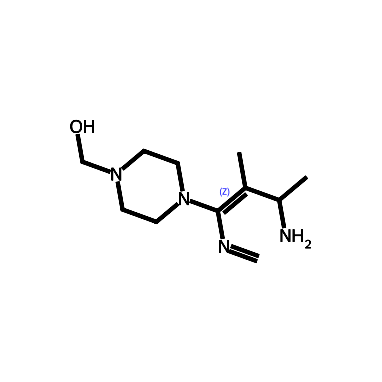 C=N/C(=C(/C)C(C)N)N1CCN(CO)CC1